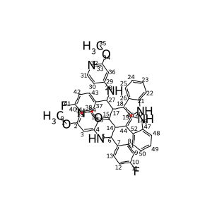 COc1cc(NC(c2ccc(F)cc2)C(C(=O)C(c2c[nH]c3ccccc23)C(Nc2ccnc(OC)c2)c2ccc(F)cc2)c2c[nH]c3ccccc23)ccn1